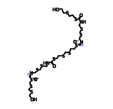 O=C(NCSCSC/N=C\[S+]([O-])CCSCSCCSC(=O)NCSCSC/N=C\[S+]([O-])CSCSCO)SCCSCCO